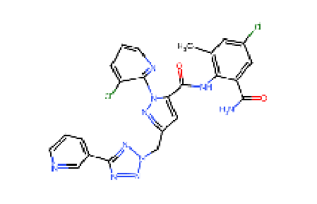 Cc1cc(Cl)cc(C(N)=O)c1NC(=O)c1cc(Cn2nnc(-c3cccnc3)n2)nn1-c1ncccc1Cl